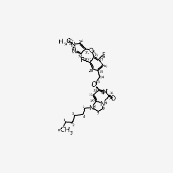 CCCCCCN1CCn2c1cc(OCc1cc(F)c(Oc3cnn(C)c3)c(F)c1)nc2=O